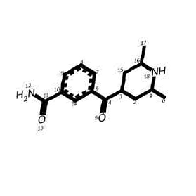 CC1CC(C(=O)c2cccc(C(N)=O)c2)CC(C)N1